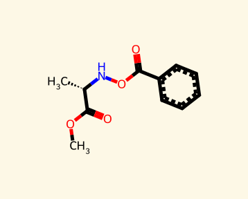 COC(=O)[C@H](C)NOC(=O)c1ccccc1